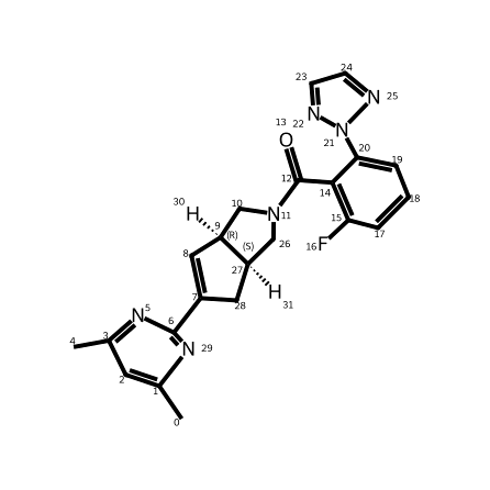 Cc1cc(C)nc(C2=C[C@H]3CN(C(=O)c4c(F)cccc4-n4nccn4)C[C@H]3C2)n1